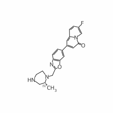 C[C@H]1CNCCN1Cc1nc2ccc(-c3cc(=O)n4cc(F)ccc4c3)cc2o1